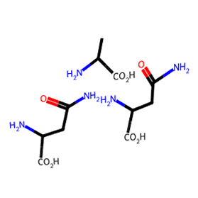 CC(N)C(=O)O.NC(=O)CC(N)C(=O)O.NC(=O)CC(N)C(=O)O